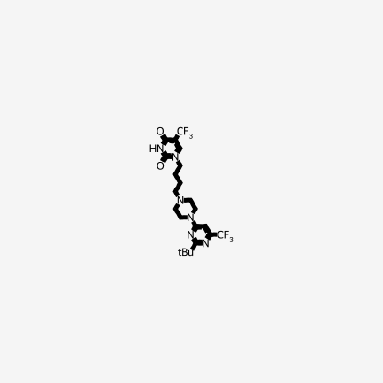 CC(C)(C)c1nc(N2CCN(CCCCn3cc(C(F)(F)F)c(=O)[nH]c3=O)CC2)cc(C(F)(F)F)n1